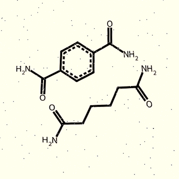 NC(=O)CCCCC(N)=O.NC(=O)c1ccc(C(N)=O)cc1